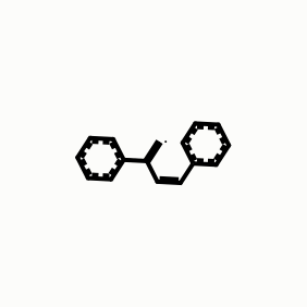 [CH]=C(/C=C\c1ccccc1)c1ccccc1